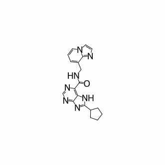 O=C(NCc1cccn2ccnc12)c1ncnc2nc(C3CCCC3)[nH]c12